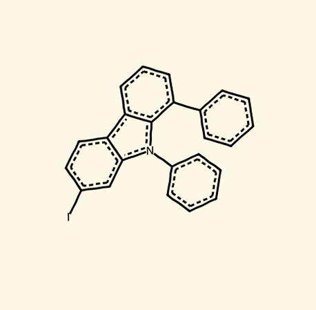 Ic1ccc2c3cccc(-c4ccccc4)c3n(-c3ccccc3)c2c1